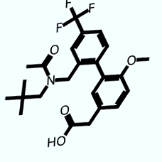 COc1ccc(CC(=O)O)cc1-c1ccc(C(F)(F)F)cc1CN(CC(C)(C)C)C(C)=O